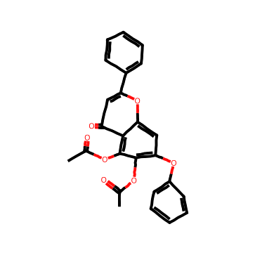 CC(=O)Oc1c(Oc2ccccc2)cc2oc(-c3ccccc3)cc(=O)c2c1OC(C)=O